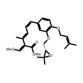 CO\C=C(C(=O)OC)/C(C)=C/C=C\c1ccc(OCC=C(C)C)c(OC[C@@H]2OC2(C)C)c1